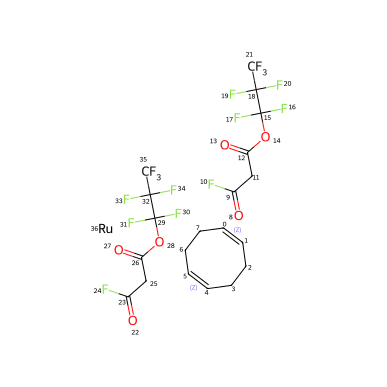 C1=C\CC/C=C\CC/1.O=C(F)CC(=O)OC(F)(F)C(F)(F)C(F)(F)F.O=C(F)CC(=O)OC(F)(F)C(F)(F)C(F)(F)F.[Ru]